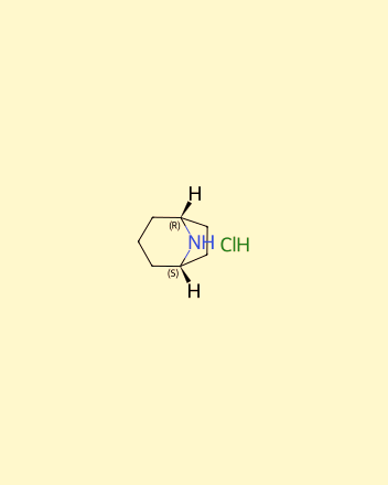 C1C[C@@H]2CC[C@H](C1)N2.Cl